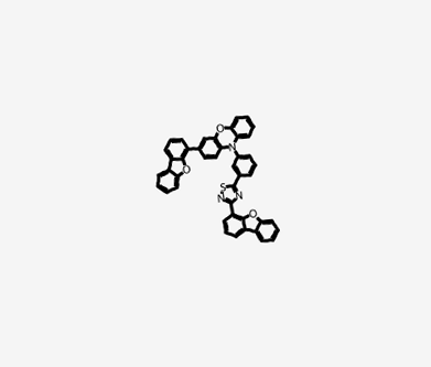 c1cc(-c2nc(-c3cccc4c3oc3ccccc34)ns2)cc(N2c3ccccc3Oc3cc(-c4cccc5c4oc4ccccc45)ccc32)c1